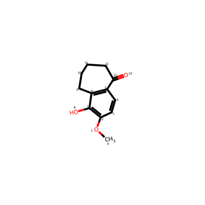 COc1ccc2c(c1O)CCCCC2=O